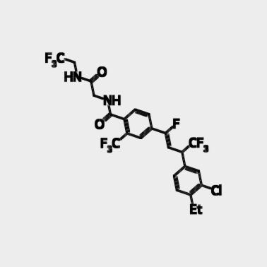 CCc1ccc(C(C=C(F)c2ccc(C(=O)NCC(=O)NCC(F)(F)F)c(C(F)(F)F)c2)C(F)(F)F)cc1Cl